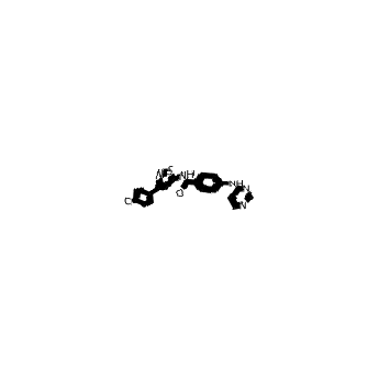 O=C(Nc1cc(-c2ccc(Cl)cc2)ns1)c1ccc(Nc2ccncn2)cc1